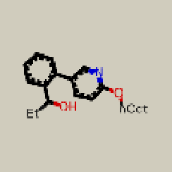 CCCCCCCCOc1ccc(-c2ccccc2C(O)CC)cn1